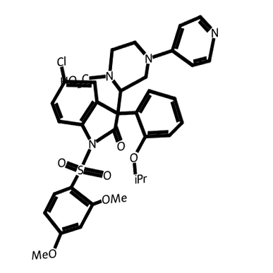 COc1ccc(S(=O)(=O)N2C(=O)C(c3ccccc3OC(C)C)(C3CN(c4ccncc4)CCN3C(=O)O)c3cc(Cl)ccc32)c(OC)c1